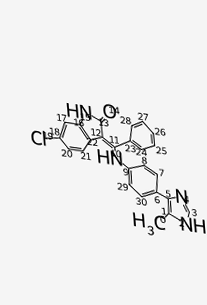 Cc1[nH]cnc1-c1ccc(NC(=C2C(=O)Nc3cc(Cl)ccc32)c2ccccc2)cc1